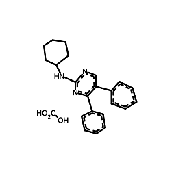 O=C(O)O.c1ccc(-c2cnc(NC3CCCCC3)nc2-c2ccccc2)cc1